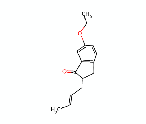 CC=CC[C@H]1Cc2ccc(OCC)cc2C1=O